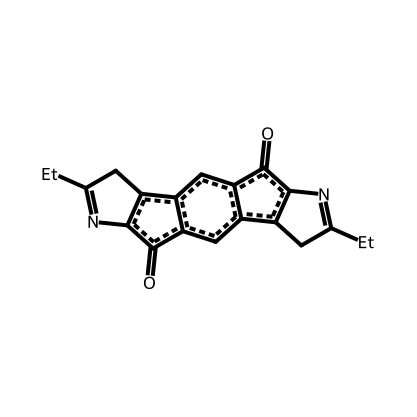 CCC1=Nc2c(c3cc4c(=O)c5c(c4cc3c2=O)CC(CC)=N5)C1